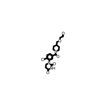 O=CCOCC1CCN(C(=O)c2ccc(Cl)c(N3CCC(=O)NC3=O)c2)CC1